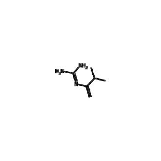 C=C(N=C(N)N)C(C)C